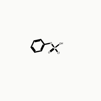 O=P(O)(Cl)Oc1ccccc1